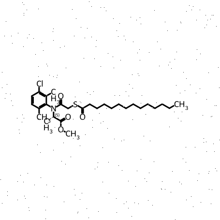 CCCCCCCCCCCCCC(=O)SCC(=O)N(c1c(C)ccc(Cl)c1C)[C@@H](C)C(=O)OC